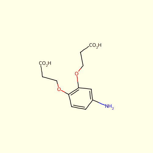 Nc1ccc(OCCC(=O)O)c(OCCC(=O)O)c1